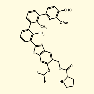 COc1nc(-c2cccc(-c3cccc(-c4nc5cc(COC(=O)[C@@H]6CCCN6)c(OC(F)F)cc5o4)c3C)c2C)ccc1C=O